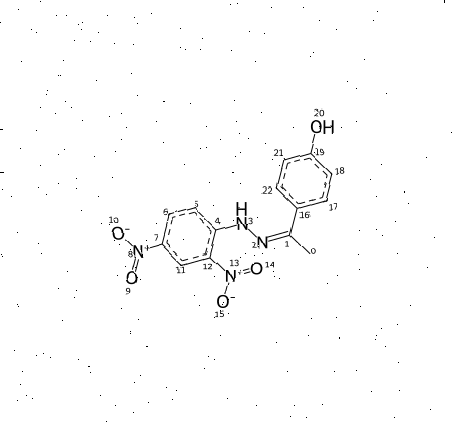 CC(=NNc1ccc([N+](=O)[O-])cc1[N+](=O)[O-])c1ccc(O)cc1